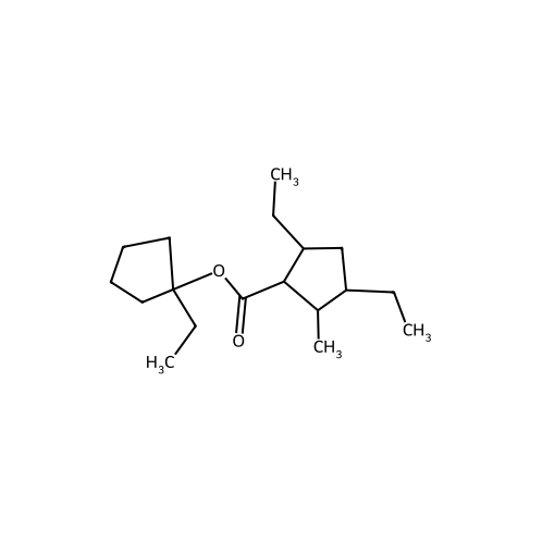 CCC1CC(CC)C(C(=O)OC2(CC)CCCC2)C1C